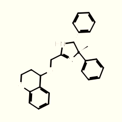 C[C@@]1(c2ccccc2)N=C(COC2CCOc3ccccc32)N[C@@H]1c1ccccc1